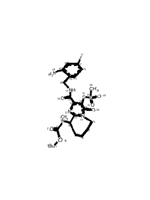 CN(C(=O)OC(C)(C)C)C1CCCCn2c1nc(C(=O)NCc1ccc(F)cc1N)c(OS(C)(=O)=O)c2=O